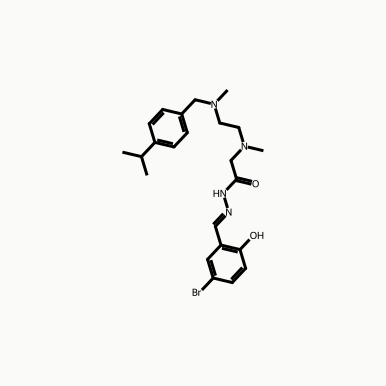 CC(C)c1ccc(CN(C)CCN(C)CC(=O)N/N=C/c2cc(Br)ccc2O)cc1